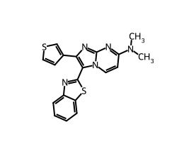 CN(C)c1ccn2c(-c3nc4ccccc4s3)c(-c3ccsc3)nc2n1